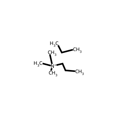 CCC.CCC[N+](C)(C)C